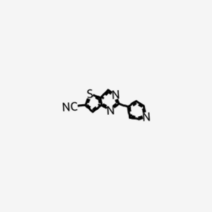 N#Cc1cc2nc(-c3ccncc3)ncc2s1